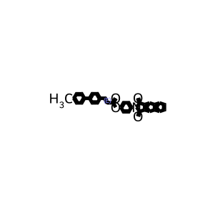 Cc1ccc(-c2ccc(/C=C/C(=O)Oc3ccc(N4C(=O)C5C6CC(C5C4=O)C4C5C=CC(C5)C64)cc3)cc2)cc1